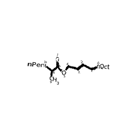 CCCCCCCCCCCCOC(=O)C(C)CCCCC